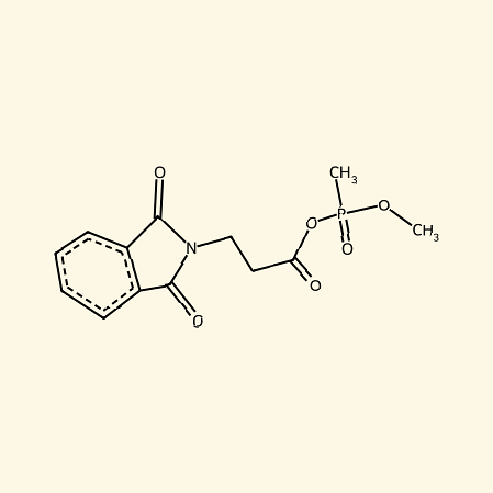 COP(C)(=O)OC(=O)CCN1C(=O)c2ccccc2C1=O